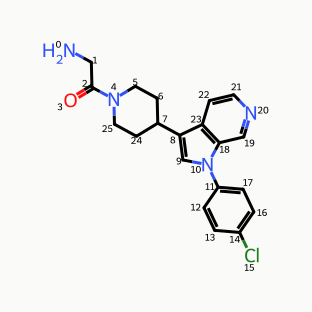 NCC(=O)N1CCC(c2cn(-c3ccc(Cl)cc3)c3cnccc23)CC1